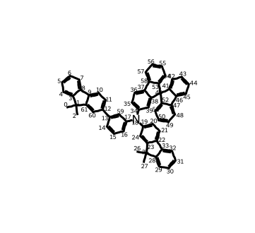 CC1(C)c2ccccc2-c2ccc(-c3cccc(N(c4ccc5c(c4)C(C)(C)c4ccccc4-5)c4ccc5c(c4)C4(c6ccccc6-c6ccccc64)c4ccccc4-5)c3)cc21